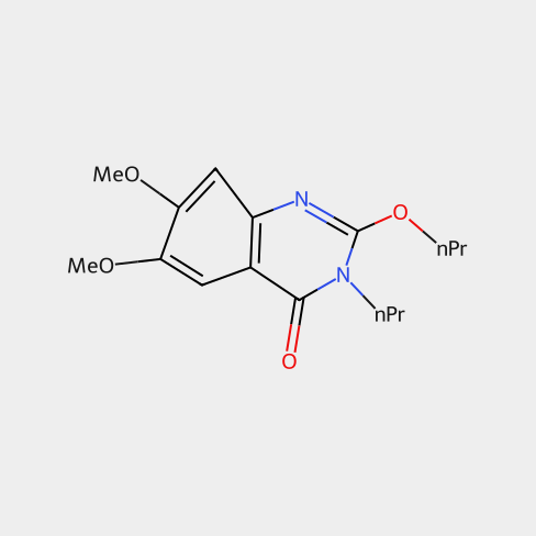 CCCOc1nc2cc(OC)c(OC)cc2c(=O)n1CCC